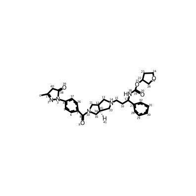 CC1=NN(c2ccc(C(=O)N3CC4CN(CCC(NC(=O)OC5CCOC5)c5ccccc5)C[C@H]4C3)cc2)C(=O)C1